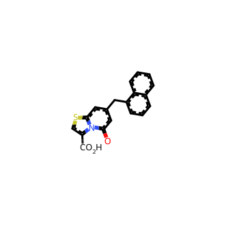 O=C(O)c1csc2cc(Cc3cccc4ccccc34)cc(=O)n12